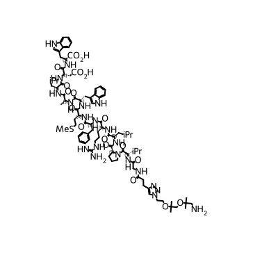 CSCC[C@H](NC(=O)[C@H](Cc1ccccc1)NC(=O)[C@H](CCCNC(=N)N)NC(=O)[C@@H](CC(C)C)NC(=O)[C@@H]1CCCN1C(=O)[C@@H](NC(=O)CNC(=O)CCc1cn(CCOC(C)(C)COC(C)(C)CN)nn1)C(C)C)C(=O)N[C@@H](Cc1c[nH]c2ccccc12)C(=O)N[C@@H](C)C(=O)N[C@@H](CC(C)C)C(=O)N[C@@H](CC(=O)O)C(=O)N[C@@H](Cc1c[nH]c2ccccc12)C(=O)O